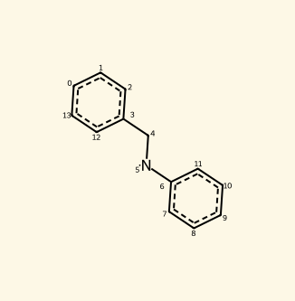 c1ccc(C[N]c2ccccc2)cc1